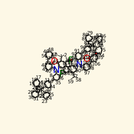 CC(C)c1cc(N(c2cc(-c3ccc([Si](c4ccccc4)(c4ccccc4)c4ccccc4)cc3)ccc2F)c2cccc3c2oc2ccccc23)c2ccc3c(C(C)C)cc(N(c4cc(-c5ccc([Si](c6ccccc6)(c6ccccc6)c6ccccc6)cc5)ccc4F)c4cccc5c4oc4ccccc45)c4ccc1c2c34